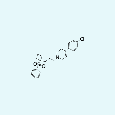 O=S(=O)(c1ccccc1)C1(CCCN2CC=C(c3ccc(Cl)cc3)CC2)CCC1